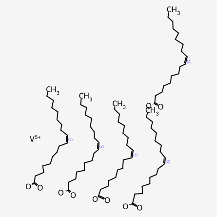 CCCCCCCC/C=C\CCCCCCCC(=O)[O-].CCCCCCCC/C=C\CCCCCCCC(=O)[O-].CCCCCCCC/C=C\CCCCCCCC(=O)[O-].CCCCCCCC/C=C\CCCCCCCC(=O)[O-].CCCCCCCC/C=C\CCCCCCCC(=O)[O-].[V+5]